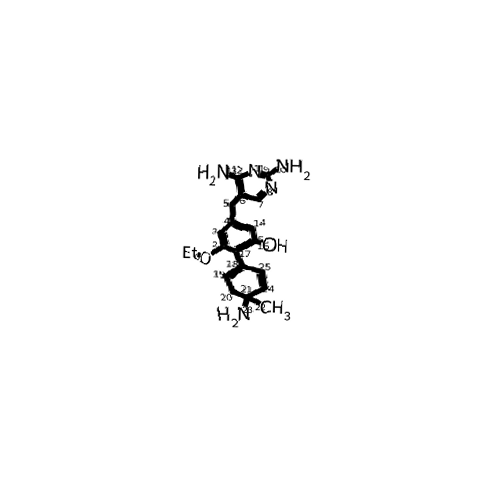 CCOc1cc(Cc2cnc(N)nc2N)cc(O)c1C1=CCC(C)(N)C=C1